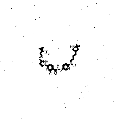 CCN(CCCCC1CNC(C)(C)C1)c1ccc(SNC(=O)c2ccc(N3C=CC(OCCC4(C(F)(F)F)CC4)N3)nc2Cl)cn1